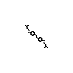 CC(C)=CCOc1ccc(/C=C/c2ccc(OCC=C(C)C)cc2)cc1